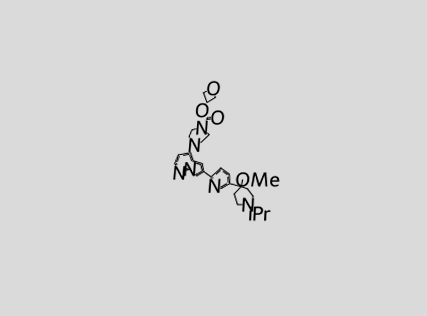 COC1(c2ccc(-c3cc4c(N5CCN(C(=O)OC6COC6)CC5)ccnn4c3)nc2)CCN(C(C)C)CC1